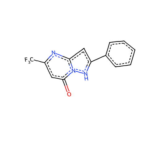 O=c1cc(C(F)(F)F)nc2cc(-c3ccccc3)[nH]n12